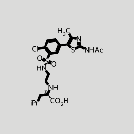 CC(=O)Nc1nc(C)c(-c2ccc(Cl)c(S(=O)(=O)NCCN[C@@H](CC(C)C)C(=O)O)c2)s1